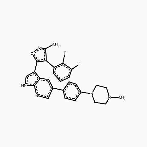 Cc1noc(-c2c[nH]c3ncc(-c4ccc(N5CCN(C)CC5)cc4)cc23)c1-c1cccc(F)c1F